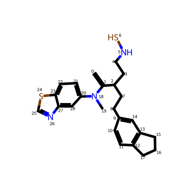 C=C(C(CCNS)CCc1ccc2c(c1)CCC2)N(C)c1ccc2scnc2c1